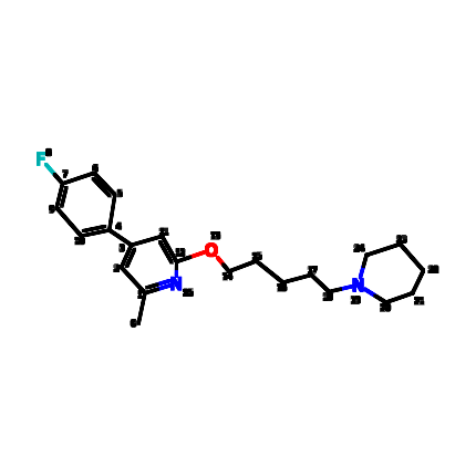 Cc1cc(-c2ccc(F)cc2)cc(OCCCCCN2CCCCC2)n1